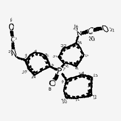 O=C=Nc1ccc(P(=O)(c2ccccc2)c2ccc(N=C=O)cc2)cc1